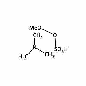 CN(C)C.COOS(=O)(=O)O